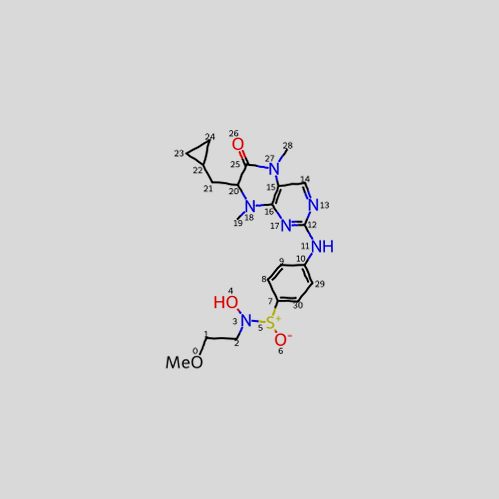 COCCN(O)[S+]([O-])c1ccc(Nc2ncc3c(n2)N(C)C(CC2CC2)C(=O)N3C)cc1